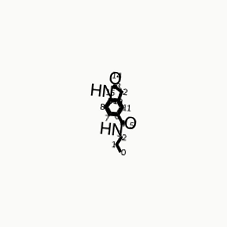 CCCNC(=O)c1ccc2c(c1)CC(=O)N2